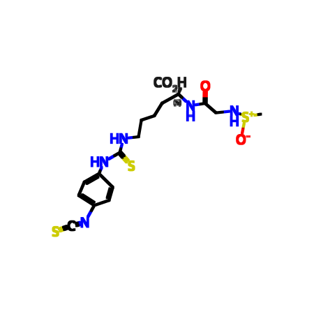 C[S+]([O-])NCC(=O)N[C@@H](CCCCNC(=S)Nc1ccc(N=C=S)cc1)C(=O)O